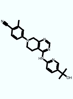 Cc1cc(N2CCc3c(ncnc3Nc3ccc(C(C)(C)O)cn3)C2)ccc1C#N